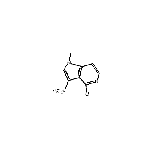 Cn1cc(C(=O)O)c2c(Cl)nccc21